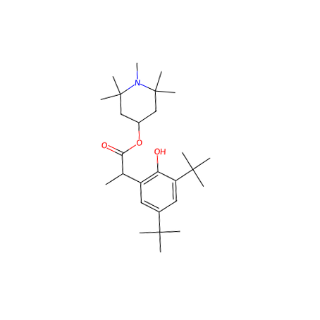 CC(C(=O)OC1CC(C)(C)N(C)C(C)(C)C1)c1cc(C(C)(C)C)cc(C(C)(C)C)c1O